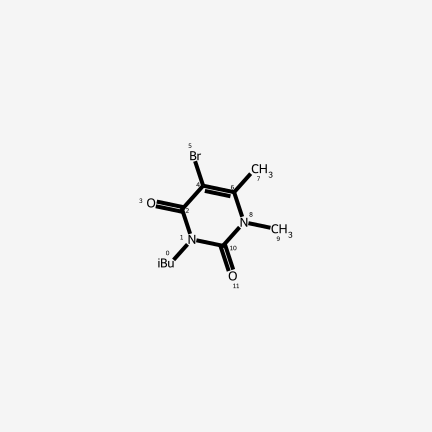 CCC(C)n1c(=O)c(Br)c(C)n(C)c1=O